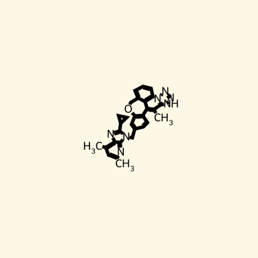 CC(=C1c2ccccc2COc2cc(Cn3c(C4CC4)nc4c(C)cc(C)nc43)ccc21)c1nnn[nH]1